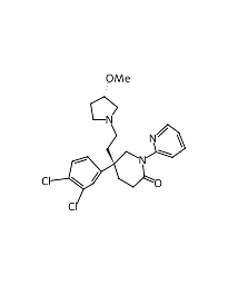 CO[C@H]1CCN(CC[C@]2(c3ccc(Cl)c(Cl)c3)CCC(=O)N(c3ccccn3)C2)C1